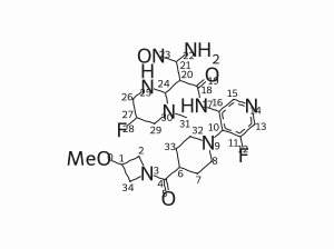 COC1CN(C(=O)C2CCN(c3c(F)cncc3NC(=O)C(C(N)N=O)C3NCC(F)CN3C)CC2)C1